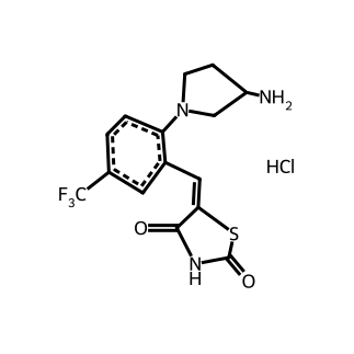 Cl.NC1CCN(c2ccc(C(F)(F)F)cc2C=C2SC(=O)NC2=O)C1